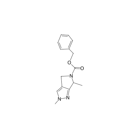 CC1c2nn(C)cc2CN1C(=O)OCc1ccccc1